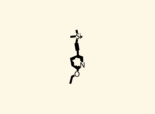 CCOc1ccc(C#C[Si](C)(C)C)cn1